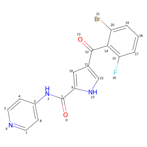 O=C(Nc1ccncc1)c1cc(C(=O)c2c(F)cccc2Br)c[nH]1